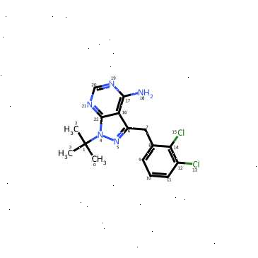 CC(C)(C)n1nc(Cc2cccc(Cl)c2Cl)c2c(N)ncnc21